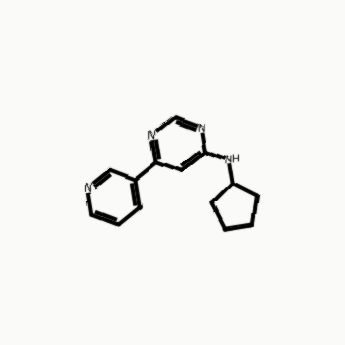 c1cncc(-c2cc(NC3CCCC3)ncn2)c1